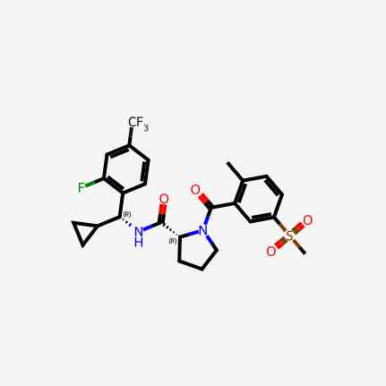 Cc1ccc(S(C)(=O)=O)cc1C(=O)N1CCC[C@@H]1C(=O)N[C@@H](c1ccc(C(F)(F)F)cc1F)C1CC1